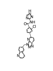 O=C(Nc1nc[nH]n1)c1ccc(-c2ccc3nnn(Cc4ccc5ncccc5c4)c3n2)cc1Cl